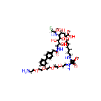 NCCOCCOCCOCCOCCNc1c(NCCCCCCO[C@]2(C(=O)O)C[C@H](O)[C@@H](NC(=O)CF)[C@H]([C@H](O)[C@H](O)CNC(=O)Cc3ccc(-c4ccccc4)cc3)O2)c(=O)c1=O